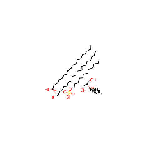 CCCCCCCCCCCCCCCCCC(=O)O.CCCCCCCCCCCCCCCCCCO.CCCCCCCCCCCCOS(=O)(=O)O.OCC(O)CO.[MgH2].[NaH]